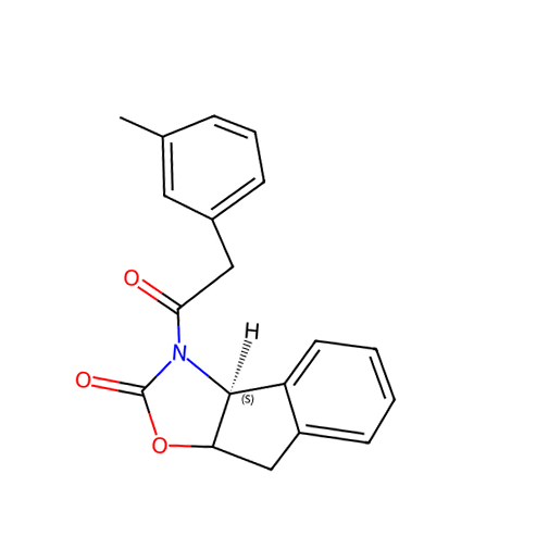 Cc1cccc(CC(=O)N2C(=O)OC3Cc4ccccc4[C@@H]32)c1